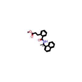 COC(=O)CCc1ccccc1C(=O)N[C@H](C)c1cccc2ccccc12